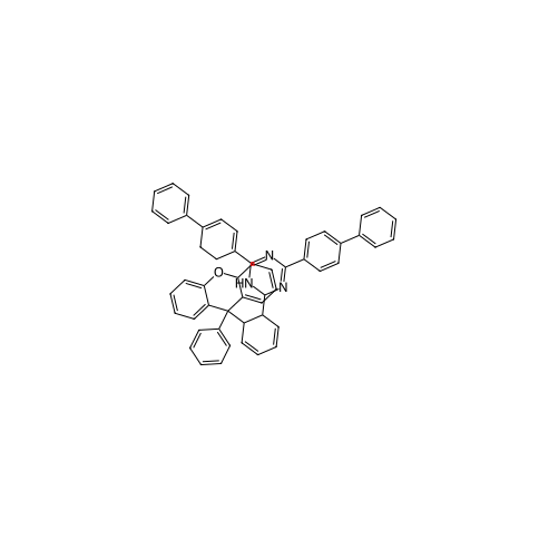 C1=CCC2Oc3ccccc3C(c3ccccc3)(C3C=CC=CC3C3N=C(c4ccc(-c5ccccc5)cc4)N=C(C4=CC=C(c5ccccc5)CC4)N3)C2=C1